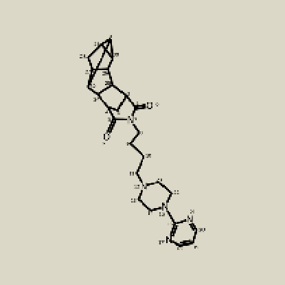 O=C1C2CC(C(=O)N1CCCCN1CCN(c3ncccn3)CC1)C1C2C2C3CC4C2C4C31